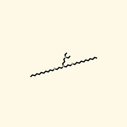 CCCCCCCCCCCSCCCN(CCCSCCCCCCCCCCC)CCCN(CC)CC